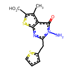 Cc1c(C(=O)O)sc2nc(Cc3cccs3)n(N)c(=O)c12